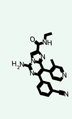 CCNC(=O)c1cn2c(N)nc(-c3cccc(C#N)c3)c(-c3ccncc3C)c2n1